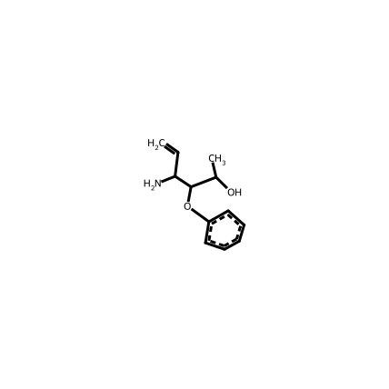 C=CC(N)C(Oc1ccccc1)C(C)O